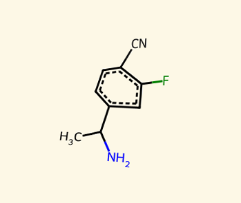 CC(N)c1ccc(C#N)c(F)c1